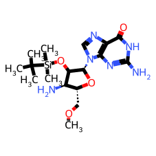 COC[C@H]1O[C@@H](n2cnc3c(=O)[nH]c(N)nc32)C(O[Si](C)(C)C(C)(C)C)[C@@H]1N